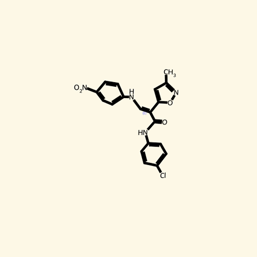 Cc1cc(/C(=C\Nc2ccc([N+](=O)[O-])cc2)C(=O)Nc2ccc(Cl)cc2)on1